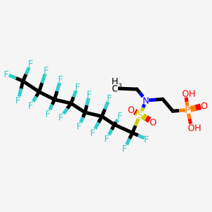 CCN(CCP(=O)(O)O)S(=O)(=O)C(F)(F)C(F)(F)C(F)(F)C(F)(F)C(F)(F)C(F)(F)C(F)(F)C(F)(F)F